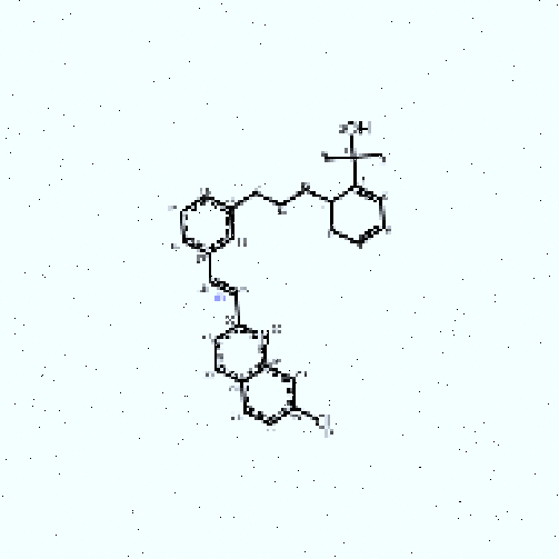 CC(C)(O)C1=CC=CCC1CCCc1cccc(/C=C/c2ccc3ccc(Cl)cc3n2)c1